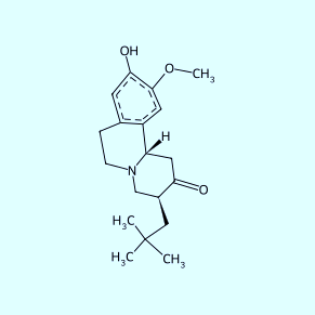 COc1cc2c(cc1O)CCN1C[C@H](CC(C)(C)C)C(=O)C[C@@H]21